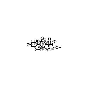 C[C@]12CCC(=O)C=C1CC[C@H]1[C@@H]3CC[C@](O)(C(=O)CO)[C@@]3(C)CC(O)(O)[C@@]12F